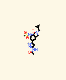 CC(=O)Nc1cc(-c2cc3c(c(NS(C)(=O)=O)c2)C(=O)N([C@@H](C)C2CC2)C3)n(C)n1